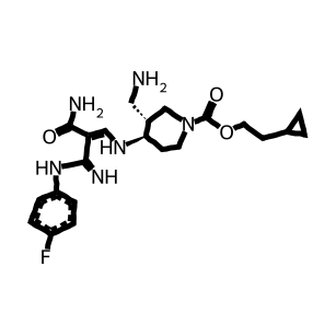 N=C(Nc1ccc(F)cc1)/C(=C\N[C@@H]1CCN(C(=O)OCCC2CC2)C[C@H]1CN)C(N)=O